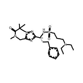 CCN(CC)CCCS(=O)(=O)N[C@H](CCc1ccccc1)c1nc2n(n1)C(C)(C)C(=O)N(C)C2